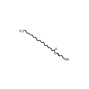 CCCCCCCCCCCCCCCCCC(=O)OC=CCCO